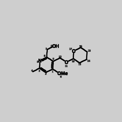 COc1cc(C)nc(CO)c1COC1CCCCO1